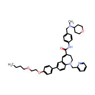 CCCCOCCOc1ccc(-c2ccc3c(c2)C=C(C(=O)Nc2ccc(CN(C)C4CCOCC4)cc2)CCN3Cc2ccccn2)cc1